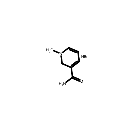 Br.CN1C=CC=C(C(N)=O)C1